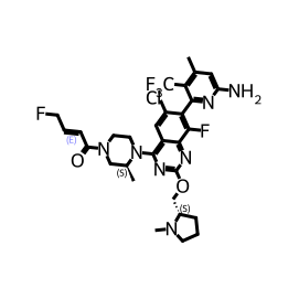 Cc1cc(N)nc(-c2c(Cl)cc3c(N4CCN(C(=O)/C=C/CF)C[C@@H]4C)nc(OC[C@@H]4CCCN4C)nc3c2F)c1C(F)(F)F